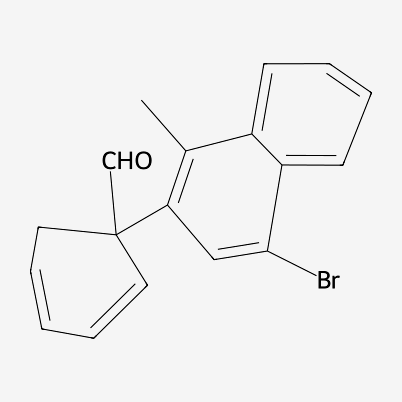 Cc1c(C2(C=O)C=CC=CC2)cc(Br)c2ccccc12